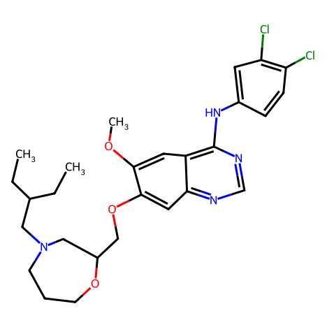 CCC(CC)CN1CCCOC(COc2cc3ncnc(Nc4ccc(Cl)c(Cl)c4)c3cc2OC)C1